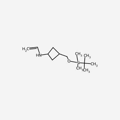 C=CNC1CC(CO[Si](C)(C)C(C)(C)C)C1